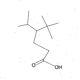 CC(C)C(CCC(=O)O)C(C)(C)C